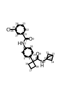 O=C(Nc1ccc(C2(C(=O)NC34CC(C3)C4)CCC2)cc1)c1cccc(Cl)c1